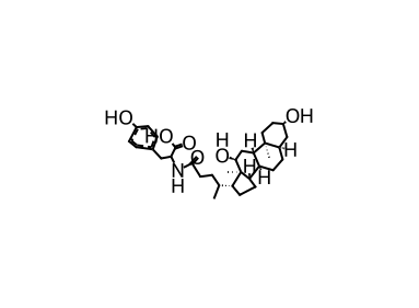 CC(CCC(=O)NC(Cc1ccc(O)cc1)C(=O)O)[C@H]1CC[C@H]2[C@@H]3CC[C@@H]4C[C@H](O)CC[C@]4(C)[C@H]3C[C@H](O)[C@]12C